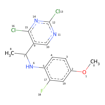 COc1ccc(NC(C)c2cnc(Cl)nc2Cl)c(F)c1